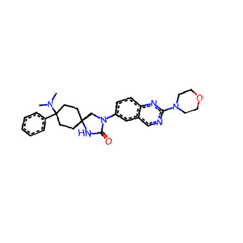 CN(C)C1(c2ccccc2)CCC2(CC1)CN(c1ccc3nc(N4CCOCC4)ncc3c1)C(=O)N2